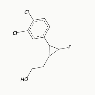 OCCC1C(F)C1c1ccc(Cl)c(Cl)c1